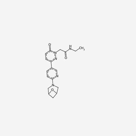 CCNC(=O)Cn1nc(-c2ccc(N3CC4CC(C3)O4)nc2)ccc1=O